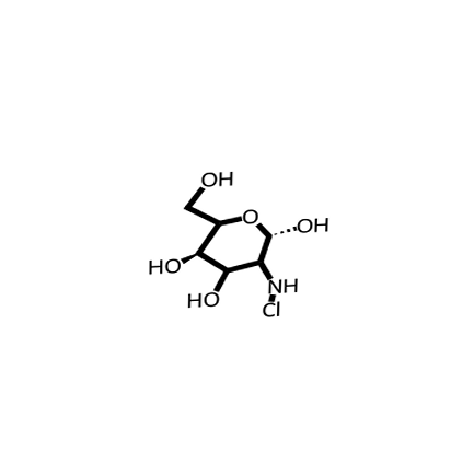 OCC1O[C@H](O)C(NCl)C(O)[C@H]1O